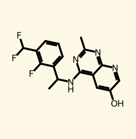 Cc1nc(NC(C)c2cccc(C(F)F)c2F)c2cc(O)cnc2n1